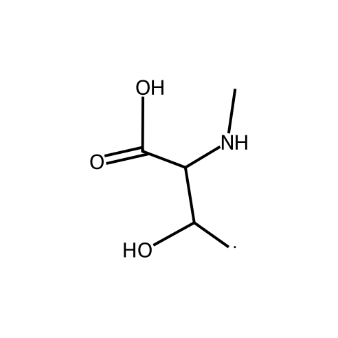 [CH2]C(O)C(NC)C(=O)O